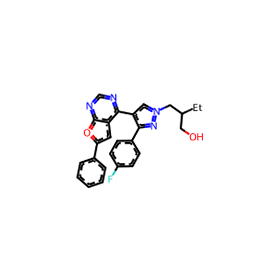 CCC(CO)Cn1cc(-c2ncnc3oc(-c4ccccc4)cc23)c(-c2ccc(F)cc2)n1